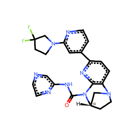 O=C(Nc1cnccn1)N1c2nc(-c3ccnc(N4CCC(F)(F)C4)c3)ccc2N2CC[C@H]1C2